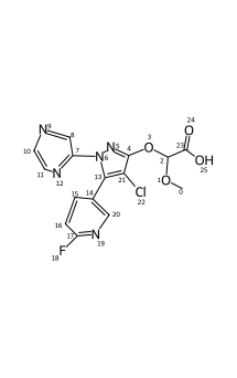 COC(Oc1nn(-c2cnccn2)c(-c2ccc(F)nc2)c1Cl)C(=O)O